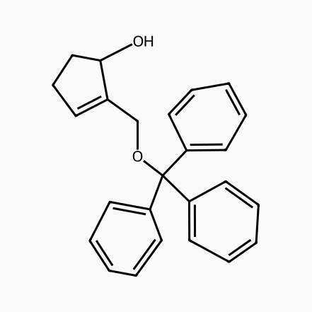 OC1CCC=C1COC(c1ccccc1)(c1ccccc1)c1ccccc1